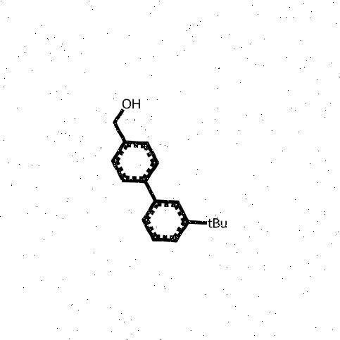 CC(C)(C)c1cccc(-c2ccc(CO)cc2)c1